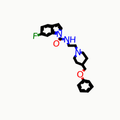 O=C(NCCN1CCC(COc2ccccc2)CC1)n1ccc2ccc(F)cc21